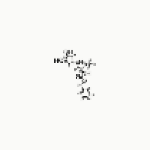 CC(C)(C)n1nc(C2C[C@@H](O)[C@@H](O)C2)cc1NC(=O)OCc1ccccc1